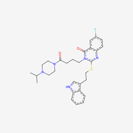 CC(C)N1CCN(C(=O)CCCn2c(SCCc3c[nH]c4ccccc34)nc3ccc(F)cc3c2=O)CC1